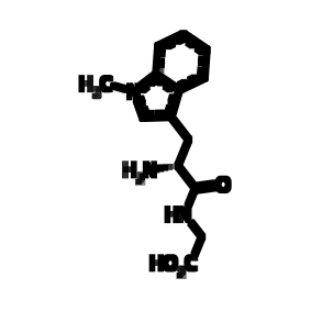 Cn1cc(C[C@@H](N)C(=O)NCC(=O)O)c2ccccc21